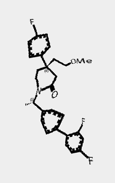 COCC[C@]1(c2ccc(F)cc2)CCN([C@@H](C)c2ccc(-c3ccc(F)cc3F)cc2)C(=O)C1